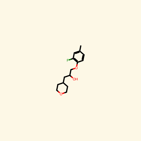 Cc1ccc(OCC(O)CC2CCOCC2)c(F)c1